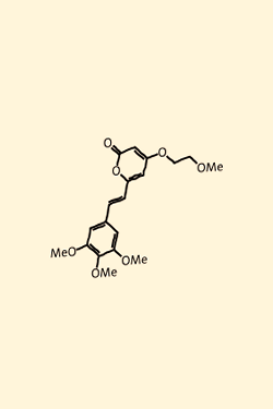 COCCOc1cc(C=Cc2cc(OC)c(OC)c(OC)c2)oc(=O)c1